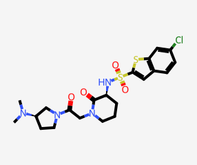 CN(C)[C@@H]1CCN(C(=O)CN2CCC[C@H](NS(=O)(=O)c3cc4ccc(Cl)cc4s3)C2=O)C1